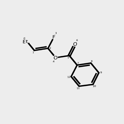 CCC=C(F)OC(=O)c1ccccc1